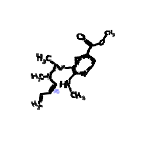 C=C/C=C\N(C)N(C)c1cc(C(=O)OC)cnc1NC